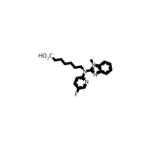 Cn1c(N(CCCCCCC(=O)O)c2ccc(F)cn2)nc2ccccc21